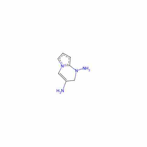 NC1=Cn2cccc2N(N)C1